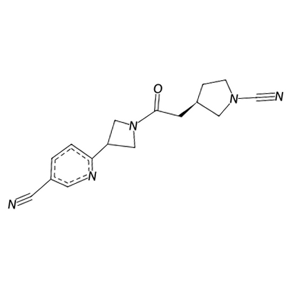 N#Cc1ccc(C2CN(C(=O)C[C@H]3CCN(C#N)C3)C2)nc1